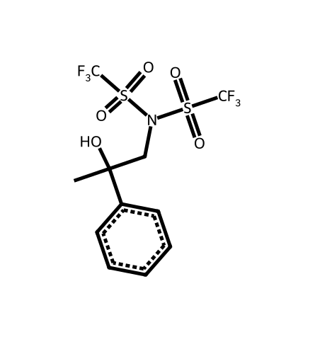 CC(O)(CN(S(=O)(=O)C(F)(F)F)S(=O)(=O)C(F)(F)F)c1ccccc1